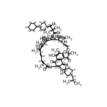 CO[C@H]1/C=C/O[C@@]2(C)Oc3c(C)c(O)c4c(c3C2=O)C2=NC3(CCN(CC(C)C)CC3)NC2=C(NC(=O)/C(C)=C\C=C\[C@H](C)[C@H](O)[C@@H](C)[C@@H](O)[C@@H](C)[C@H](OC(=O)C(C)(C)C(=O)N2CCN(C3CCCCC3)CC2)[C@@H]1C)C4=O